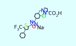 O=C(O)c1ccn(Cc2ccc(-c3noc(-c4cc(-c5ccccc5)c(C(F)(F)F)s4)n3)cc2Cl)n1.[Na]